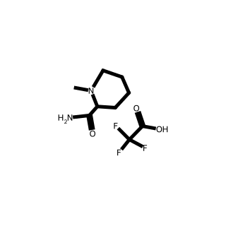 CN1CCCCC1C(N)=O.O=C(O)C(F)(F)F